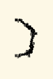 COCCCCOC(=O)CC1CCC(CC2CCC(NC(=O)OCCCCOC(=O)CC3CCC(CC4CCC(NC(=O)OCCCCOC)CC4)CC3)CC2)CC1